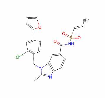 CCC/C=C/S(=O)(=O)NC(=O)c1ccc2nc(C)n(Cc3ccc(-c4ccco4)cc3Cl)c2c1